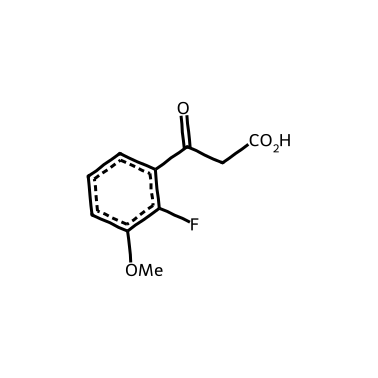 COc1cccc(C(=O)CC(=O)O)c1F